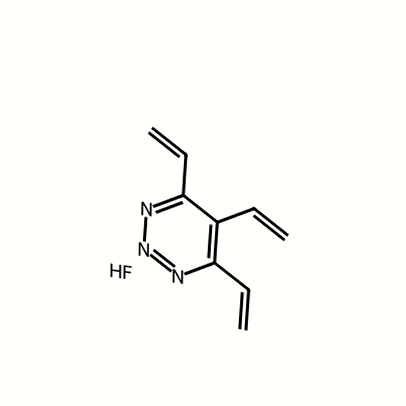 C=Cc1nnnc(C=C)c1C=C.F